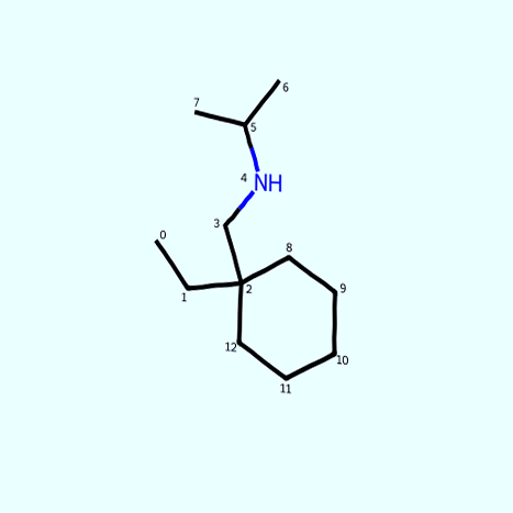 CCC1(CNC(C)C)CCCCC1